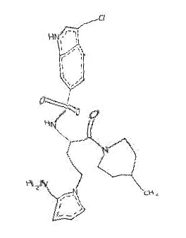 CC1CCN(C(=O)C(CCn2cccc2N)NS(=O)(=O)c2ccc3c(Cl)c[nH]c3c2)CC1